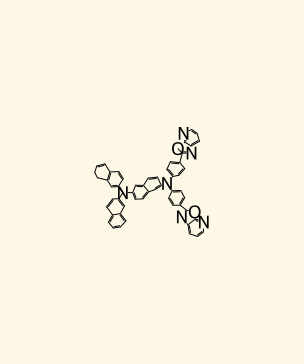 C1=Cc2ccc(N(c3ccc4ccccc4c3)c3ccc4cc(N(c5ccc(-c6nc7cccnc7o6)cc5)c5ccc(-c6nc7cccnc7o6)cc5)ccc4c3)cc2CC1